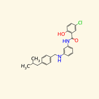 CC(C)Cc1ccc(CNc2cccc(NC(=O)c3cc(Cl)ccc3O)c2)cc1